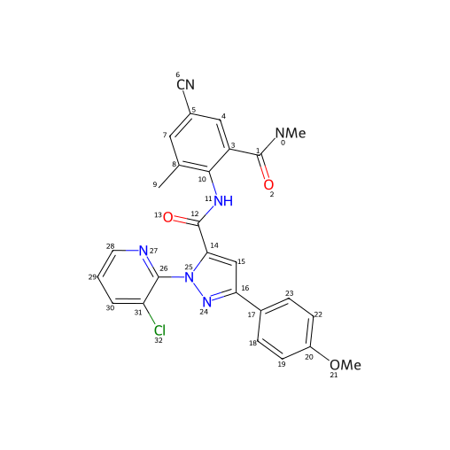 CNC(=O)c1cc(C#N)cc(C)c1NC(=O)c1cc(-c2ccc(OC)cc2)nn1-c1ncccc1Cl